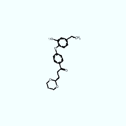 CCc1ccc(Oc2ccc(C(=O)CCC3OCCCO3)cc2)c(O)c1